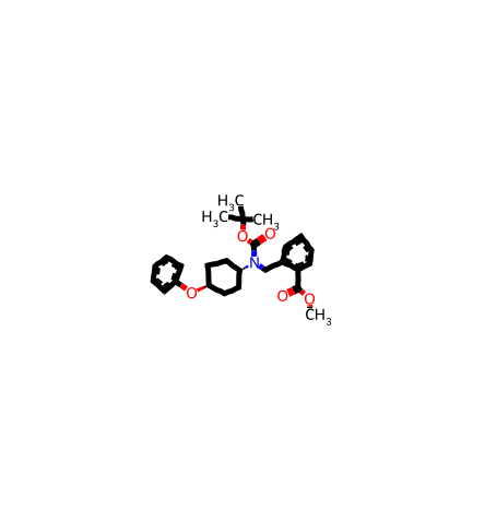 COC(=O)c1ccccc1CN(C(=O)OC(C)(C)C)[C@H]1CC[C@H](Oc2ccccc2)CC1